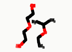 CCOC(C)C.OCCOCCO